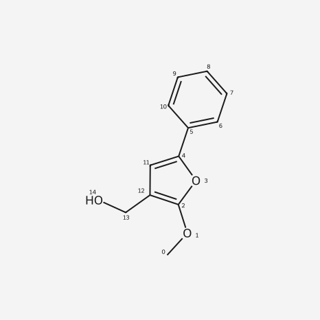 COc1oc(-c2ccccc2)cc1CO